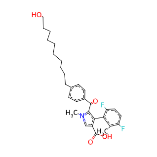 Cc1c(F)ccc(F)c1-c1c(C(=O)O)cn(C)c1C(=O)c1ccc(CCCCCCCCCCO)cc1